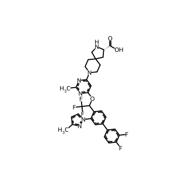 Cc1ccn(-c2cc(-c3ccc(F)c(F)c3)ccc2C(Oc2cc(N3CCC4(CC3)CN[C@H](C(=O)O)C4)nc(C)n2)C(F)(F)F)n1